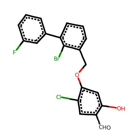 O=Cc1cc(Cl)c(OCc2cccc(-c3cccc(F)c3)c2Br)cc1O